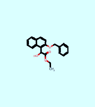 CCOC(=O)C(O)c1c(OCc2ccccc2)ccc2ccccc12